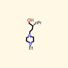 CCC[C@H](CO)CCN1CCN(CC)CC1